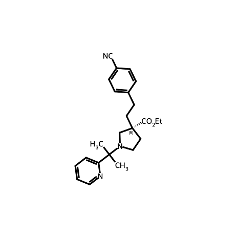 CCOC(=O)[C@]1(CCc2ccc(C#N)cc2)CCN(C(C)(C)c2ccccn2)C1